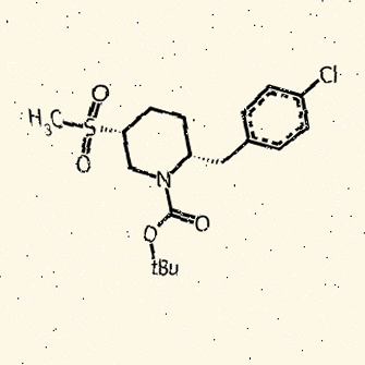 CC(C)(C)OC(=O)N1C[C@H](S(C)(=O)=O)CC[C@@H]1Cc1ccc(Cl)cc1